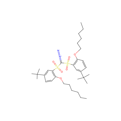 CCCCCCOc1ccc(C(C)(C)C)cc1S(=O)(=O)C(=[N+]=[N-])S(=O)(=O)c1cc(C(C)(C)C)ccc1OCCCCCC